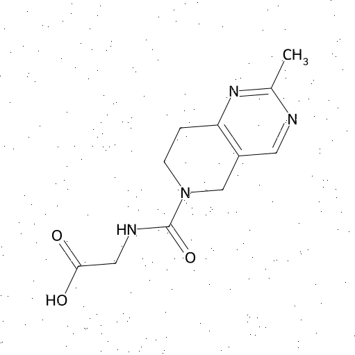 Cc1ncc2c(n1)CCN(C(=O)NCC(=O)O)C2